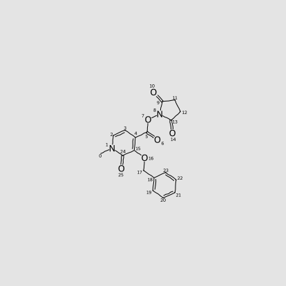 Cn1ccc(C(=O)ON2C(=O)CCC2=O)c(OCc2ccccc2)c1=O